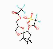 CC1(C)C2CCC1(C)C1(OCC(COC(=O)C(F)(F)F)O1)C2OC(=O)C(F)(F)S(=O)(=O)O